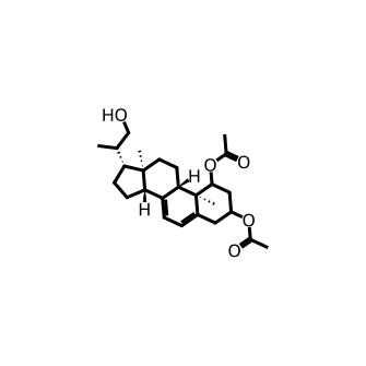 CC(=O)OC1CC2=CC=C3[C@@H]4CC[C@H](C(C)CO)[C@@]4(C)CC[C@@H]3[C@@]2(C)C(OC(C)=O)C1